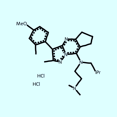 COc1ccc(-c2c(C)nn3c(N(CCN(C)C)CC(C)C)c4c(nc23)CCC4)c(C)c1.Cl.Cl